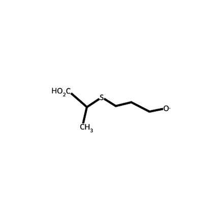 CC(SCCC[O])C(=O)O